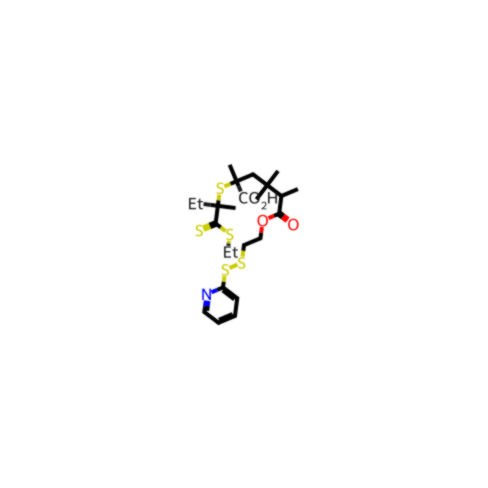 CCSC(=S)C(C)(CC)SC(C)(CC(C)(C)C(C)C(=O)OCCSSc1ccccn1)C(=O)O